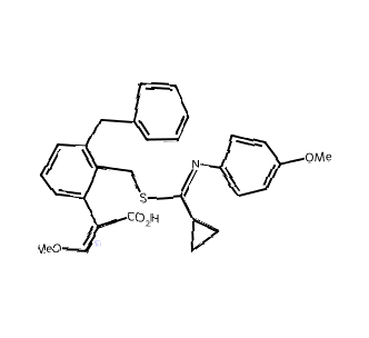 CO/C=C(/C(=O)O)c1cccc(Cc2ccccc2)c1CSC(=Nc1ccc(OC)cc1)C1CC1